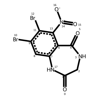 O=C1CNC(=O)c2c(cc(Br)c(Br)c2[N+](=O)[O-])N1